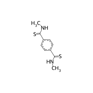 CNC(=S)c1ccc(C(=S)NC)cc1